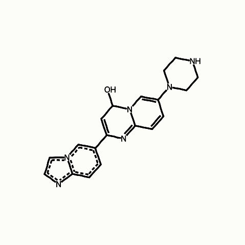 OC1C=C(c2ccc3nccn3c2)N=C2C=CC(N3CCNCC3)=CN21